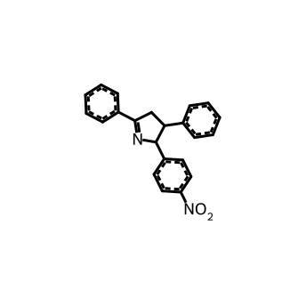 O=[N+]([O-])c1ccc(C2N=C(c3ccccc3)CC2c2ccccc2)cc1